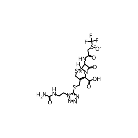 NC(=O)NCCn1nnnc1SCC1=C(C(=O)O)N2C(=O)C(NC(=O)C[S+]([O-])C(F)(F)F)[C@H]2SC1